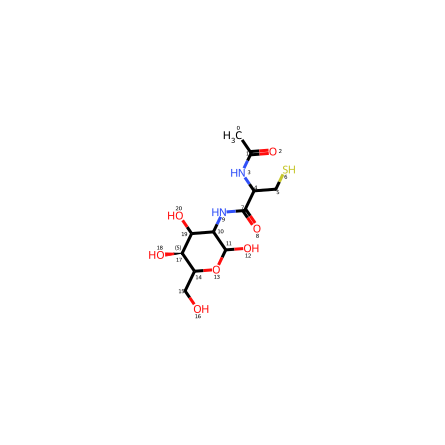 CC(=O)NC(CS)C(=O)NC1C(O)OC(CO)[C@@H](O)C1O